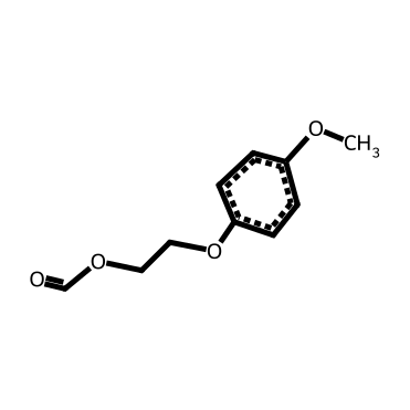 COc1ccc(OCCOC=O)cc1